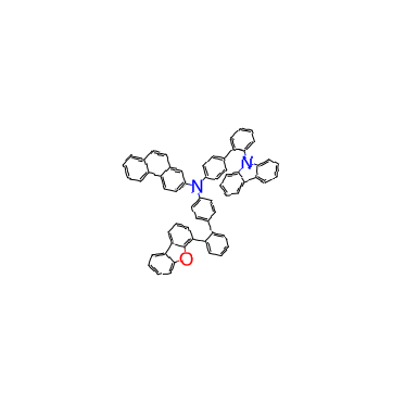 c1ccc(-c2cccc3c2oc2ccccc23)c(-c2ccc(N(c3ccc(-c4ccccc4-n4c5ccccc5c5ccccc54)cc3)c3ccc4c(ccc5ccccc54)c3)cc2)c1